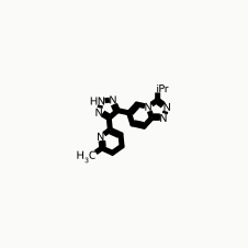 CC1=NC(c2n[nH]nc2-c2ccc3nnc(C(C)C)n3c2)=CCC1